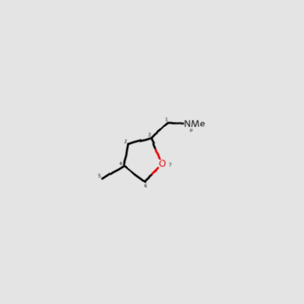 CNCC1CC(C)CO1